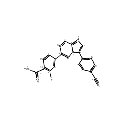 N#Cc1ccc(-c2cnc3cnc(-c4ccc(C(=O)O)c(F)c4)cn23)cc1